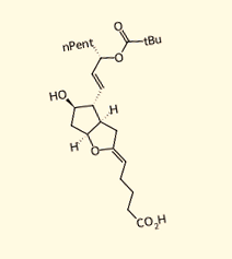 CCCCC[C@@H](/C=C/[C@@H]1[C@H]2C/C(=C/CCCC(=O)O)O[C@H]2C[C@H]1O)OC(=O)C(C)(C)C